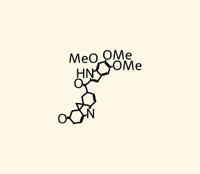 COc1cc2cc(C(=O)C3C=CC4=NC5=CCC(=O)CC56CC46C3)[nH]c2c(OC)c1OC